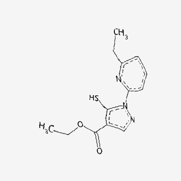 CCOC(=O)c1cnn(-c2cccc(CC)n2)c1S